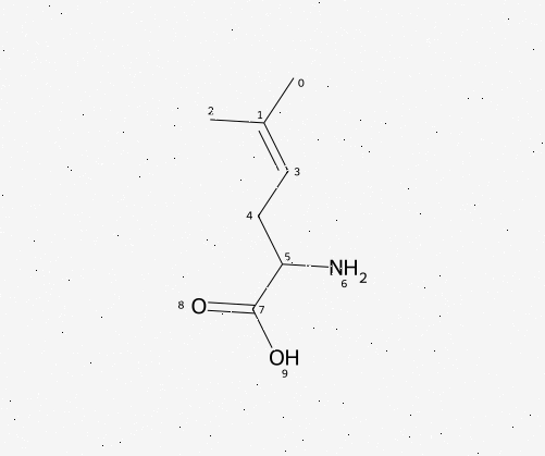 CC(C)=CCC(N)C(=O)O